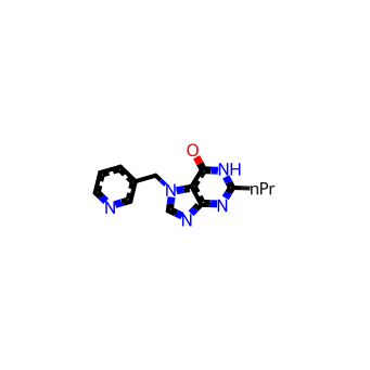 CCCc1nc2ncn(Cc3cccnc3)c2c(=O)[nH]1